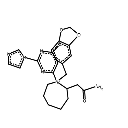 CCc1cc([N+]2(Cc3ccc4c(c3)OCO4)CCCCCC2CC(N)=O)nc(-n2ccnc2)n1